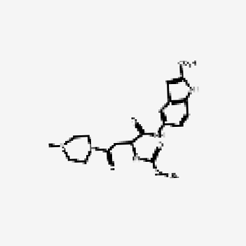 CN1CCN(C(=O)CC(NC(=O)OC(C)(C)C)C(=O)Nc2ccc3[nH]c(C(=O)O)cc3c2)CC1